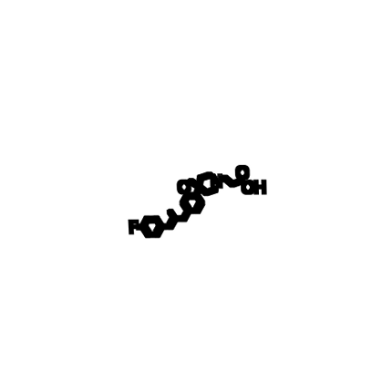 C/C(=C\c1ccc(F)cc1)Cc1ccc2c(c1)OCC21CCN(CCC(=O)O)CC1